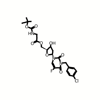 CC(C)(C)OC(=O)NCC(=O)OC[C@@H]1O[C@H](n2cc(F)c(=O)n(Cc3ccc(Cl)cc3)c2=O)CC1O